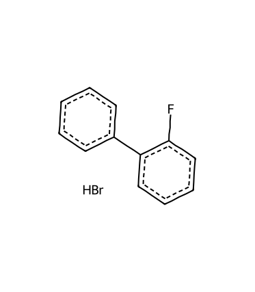 Br.Fc1ccccc1-c1ccccc1